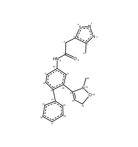 Cc1nnsc1CC(=O)Nc1ccc(-c2ccccc2)c(C2=CCON2C)c1